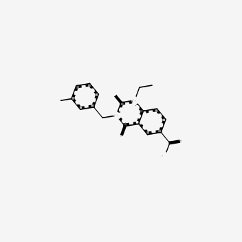 CCn1c(=O)n(Cc2cccc(F)c2)c(=O)c2cc(C(=O)O)ccc21